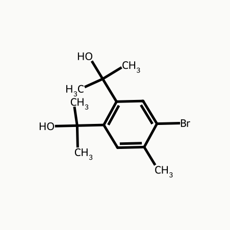 Cc1cc(C(C)(C)O)c(C(C)(C)O)cc1Br